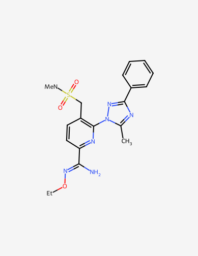 CCO/N=C(\N)c1ccc(CS(=O)(=O)NC)c(-n2nc(-c3ccccc3)nc2C)n1